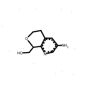 Nc1cnc2c(c1)CCOC2CO